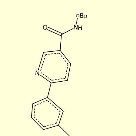 CCCCNC(=O)c1ccc(-c2cccc(OC)c2)nc1